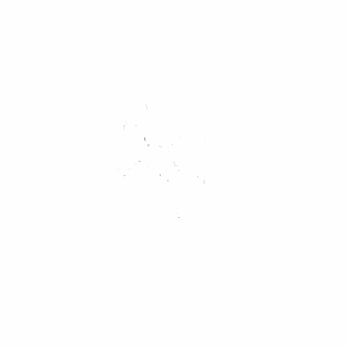 C=Nc1c(/C(Br)=C\C)n(C)c(=O)n1C1CCCCO1